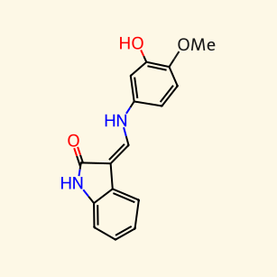 COc1ccc(NC=C2C(=O)Nc3ccccc32)cc1O